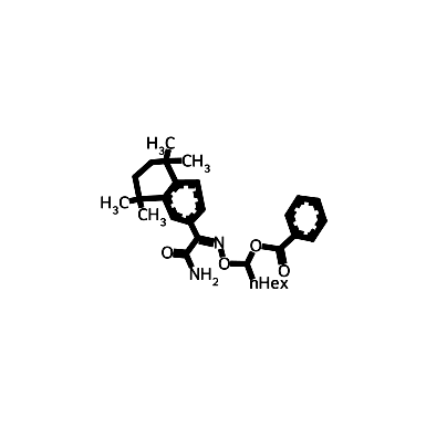 CCCCCCC(ON=C(C(N)=O)c1ccc2c(c1)C(C)(C)CCC2(C)C)OC(=O)c1ccccc1